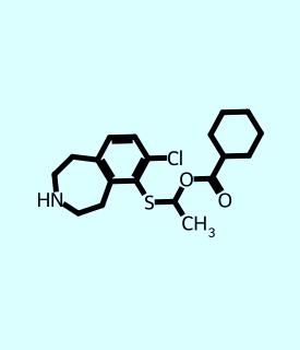 CC(OC(=O)C1CCCCC1)Sc1c(Cl)ccc2c1CCNCC2